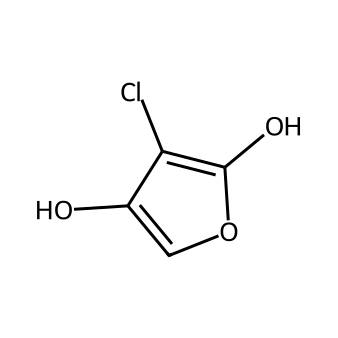 Oc1coc(O)c1Cl